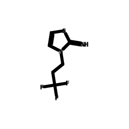 N=c1sccn1CCC(F)(F)F